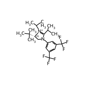 CC(C)C1=[N+](C(C)C)[C@@H](C(C)(C)C)CN1c1cc(C(F)(F)F)cc(C(F)(F)F)c1